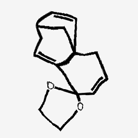 C1=CC2(OCCO2)C2=CC3C=CC2(C1)C3